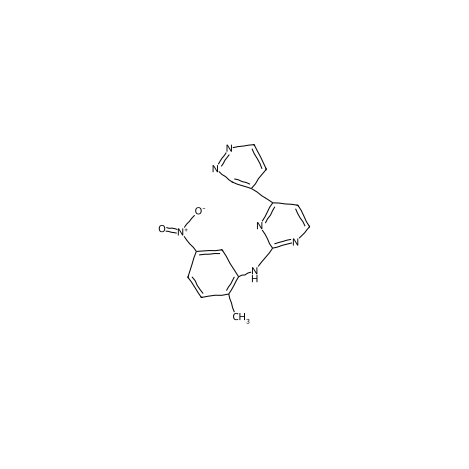 Cc1ccc([N+](=O)[O-])cc1Nc1nccc(-c2ccnnc2)n1